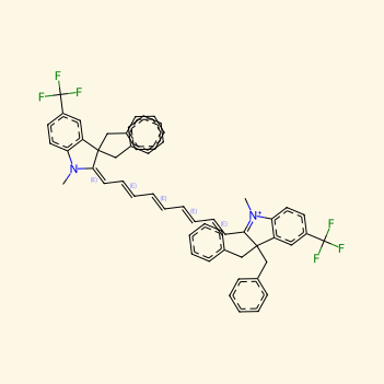 CN1/C(=C/C=C/C=C/C=C/C=C/C2=[N+](C)c3ccc(C(F)(F)F)cc3C2(Cc2ccccc2)Cc2ccccc2)C(Cc2ccccc2)(Cc2ccccc2)c2cc(C(F)(F)F)ccc21